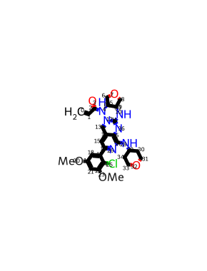 C=CC(=O)N[C@H]1COC[C@H]1Nc1ncc2cc(-c3cc(OC)cc(OC)c3Cl)nc(NC3CCOCC3)c2n1